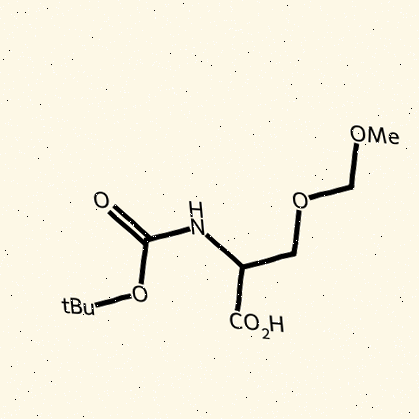 COCOCC(NC(=O)OC(C)(C)C)C(=O)O